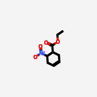 CCOC(=O)C1CC=CCC1[N+](=O)[O-]